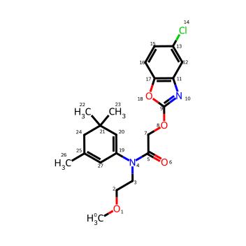 COCCN(C(=O)COc1nc2cc(Cl)ccc2o1)C1=CC(C)(C)CC(C)=C1